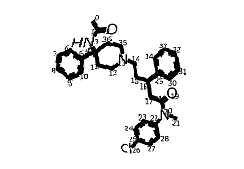 CC(=O)NC1(c2ccccc2)CCN(CCC(CC(=O)N(C)c2ccc(Cl)cc2)c2ccccc2)CC1